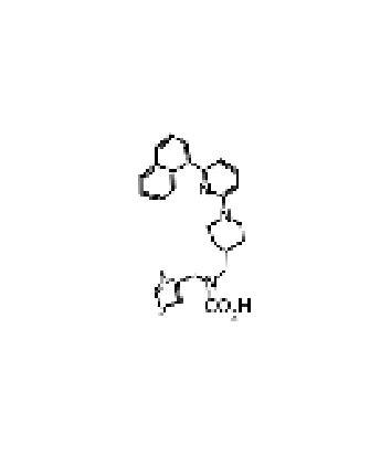 O=C(O)N(Cc1cscn1)CC1CCN(c2cccc(-c3cccc4ccccc34)n2)CC1